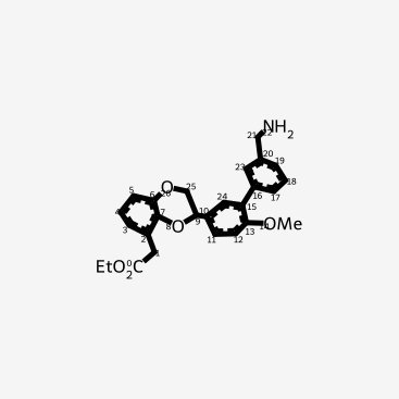 CCOC(=O)Cc1cccc2c1OC(c1ccc(OC)c(-c3cccc(CN)c3)c1)CO2